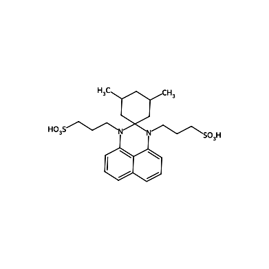 CC1CC(C)CC2(C1)N(CCCS(=O)(=O)O)c1cccc3cccc(c13)N2CCCS(=O)(=O)O